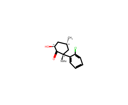 CN[C@]1(c2ccccc2Cl)C[C@@H](C)C[C@H](O)C1=O